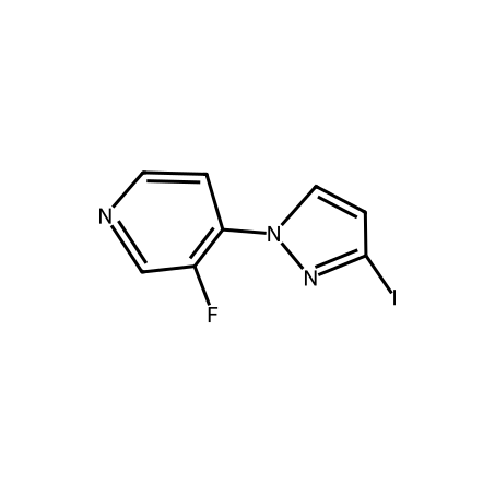 Fc1cnccc1-n1ccc(I)n1